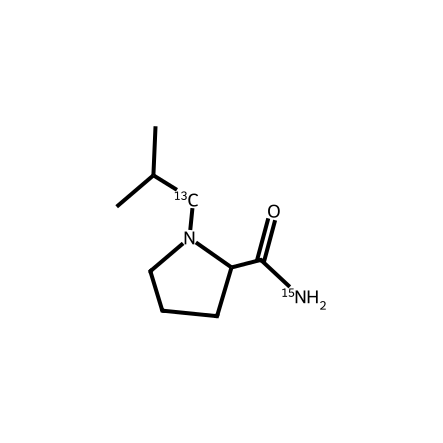 CC(C)[13CH2]N1CCCC1C([15NH2])=O